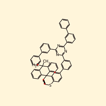 CC1(C)c2ccccc2C2(c3ccccc3Sc3ccc(-c4cccc(-c5nc(-c6cccc(-c7ccccc7)c6)nc(-c6cccc(-c7ccccc7)c6)n5)c4)cc32)c2ccccc21